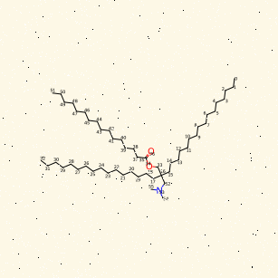 CCCCCCCCCCCCCCCCC(CCCCCCCCCCCCCCCC)(COC(=O)CCCCCCCCCCCCCCC)CN(C)C